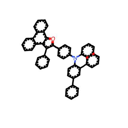 c1ccc(-c2ccc(N(c3ccccc3)c3ccc(-c4oc5c6ccccc6c6ccccc6c5c4-c4ccccc4)cc3)c(-c3ccccc3)c2)cc1